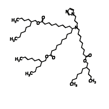 CCCCCCC(CCCC)COC(=O)CCCCCCCCC(CCCCCCCCC(=O)OCC(CCCC)CCCCCC)N(CCCCCCCCC(=O)OCC(CCCC)CCCCCC)CCCn1ccnc1